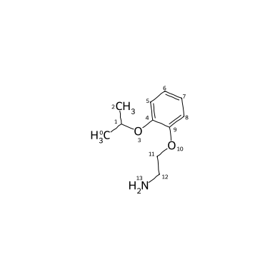 CC(C)Oc1ccccc1OCCN